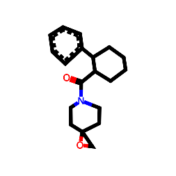 O=C(C1CCCCC1c1ccccc1)N1CCC2(CC1)CO2